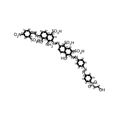 Nc1c(N=Nc2ccc3c(O)c(N=Nc4ccc(N=Nc5ccc(S(=O)(=O)CCO)cc5)cc4)c(S(=O)(=O)O)cc3c2S(=O)(=O)O)cc(S(=O)(=O)O)c2ccc(N=Nc3ccc([N+](=O)[O-])cc3S(=O)(=O)O)c(O)c12